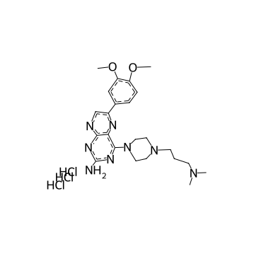 COc1ccc(-c2cnc3nc(N)nc(N4CCN(CCCN(C)C)CC4)c3n2)cc1OC.Cl.Cl.Cl